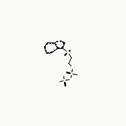 O=P(O)(O)OP(=O)(O)OCCS(=O)(=O)c1c[nH]c2ccccc12